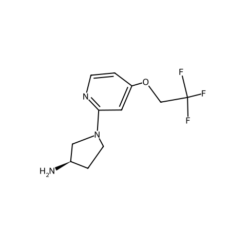 N[C@@H]1CCN(c2cc(OCC(F)(F)F)ccn2)C1